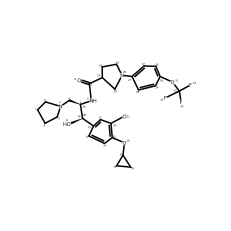 O=C(N[C@H](CN1CCCC1)[C@H](O)c1ccc(OC2CC2)c(Cl)c1)C1CCN(c2ccc(OC(F)(F)F)cc2)C1